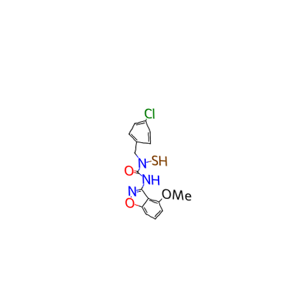 COc1cccc2onc(NC(=O)N(S)Cc3ccc(Cl)cc3)c12